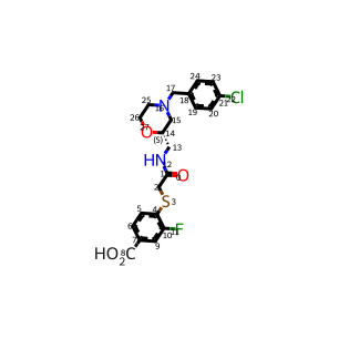 O=C(CSc1ccc(C(=O)O)cc1F)NC[C@H]1CN(Cc2ccc(Cl)cc2)CCO1